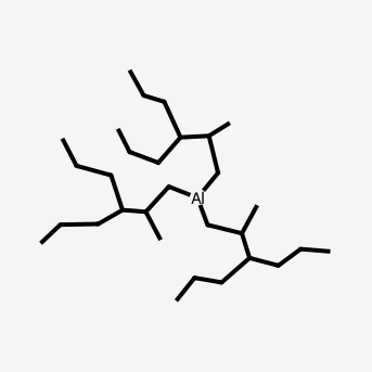 CCCC(CCC)C(C)[CH2][Al]([CH2]C(C)C(CCC)CCC)[CH2]C(C)C(CCC)CCC